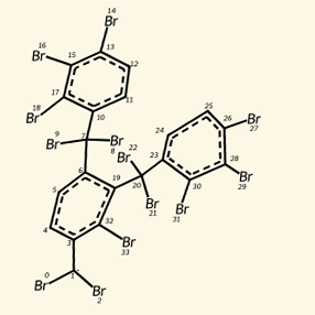 Br[C](Br)c1ccc(C(Br)(Br)c2ccc(Br)c(Br)c2Br)c(C(Br)(Br)c2ccc(Br)c(Br)c2Br)c1Br